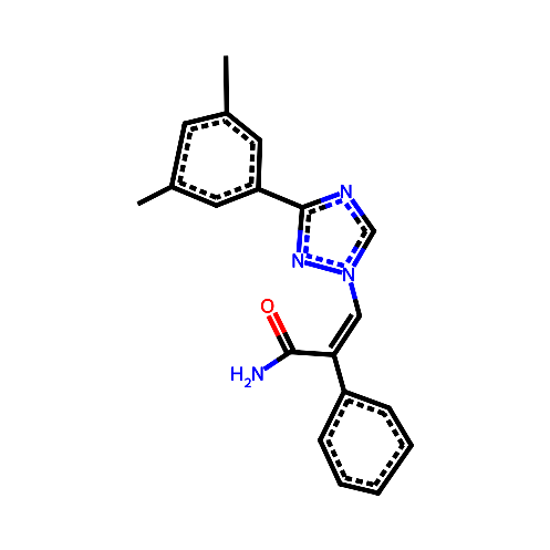 Cc1cc(C)cc(-c2ncn(C=C(C(N)=O)c3ccccc3)n2)c1